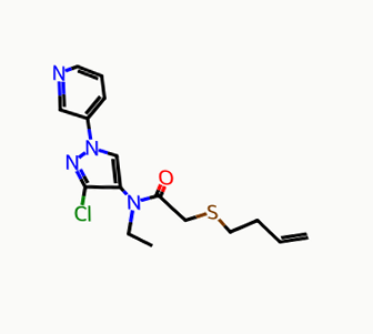 C=CCCSCC(=O)N(CC)c1cn(-c2cccnc2)nc1Cl